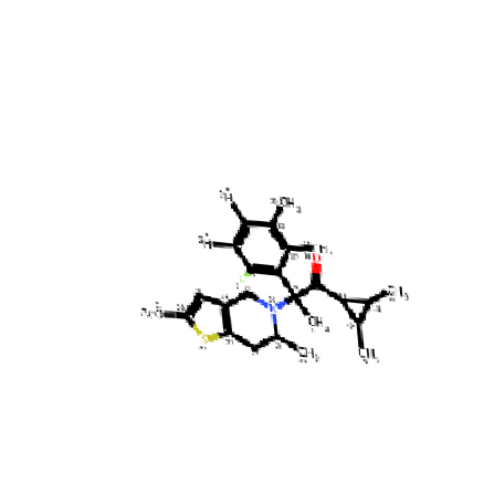 [2H]c1c([2H])c(F)c(C(C)(C(=O)C2C(C)C2C)N2Cc3cc(OC(C)=O)sc3CC2C)c(C)c1C